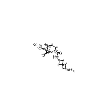 NC1CC2(C1)CC(NC(=O)[C@@H]1CC[C@@H]3CN1C(=O)N3OS(=O)(=O)O)C2